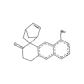 CCC(C)c1cccc2cc3c(cc12)C1(CC2C=CC1C2)C(=O)CC3